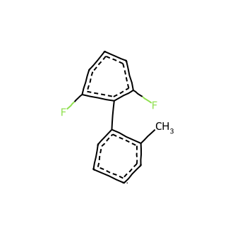 Cc1c[c]ccc1-c1c(F)cccc1F